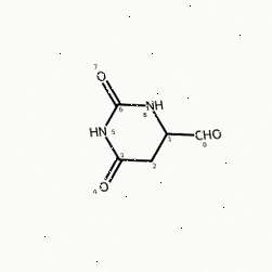 O=CC1CC(=O)NC(=O)N1